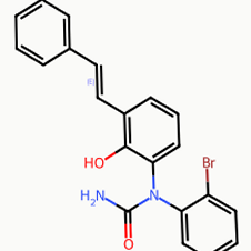 NC(=O)N(c1ccccc1Br)c1cccc(/C=C/c2ccccc2)c1O